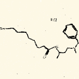 CCCCCCCCCCCCCCCCCC(=O)NC(C)CCN(C)Cc1ccccc1.Cl